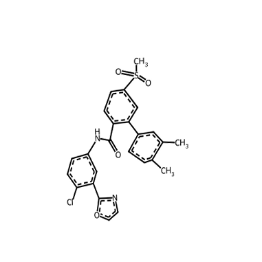 Cc1ccc(-c2cc(S(C)(=O)=O)ccc2C(=O)Nc2ccc(Cl)c(-c3ncco3)c2)cc1C